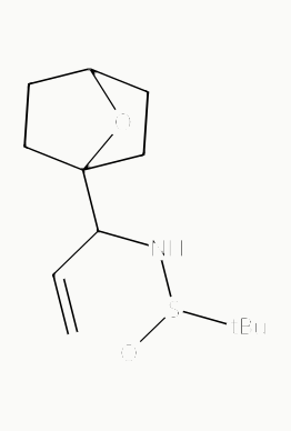 C=CC(N[S+]([O-])C(C)(C)C)C12CCC(CC1)O2